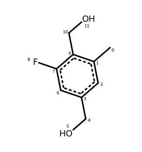 Cc1cc(CO)cc(F)c1CO